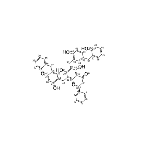 O=C1C[C@@H](c2ccccc2)Oc2c(Cc3cc(Cc4ccccc4O)ccc3O)c(O)c(Cc3cc(Cc4ccccc4O)ccc3O)c(O)c21